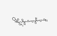 CCOCCOCCNC(=O)COCCOCCNC(=O)CC[C@@H](C)NC(=O)C1CCCCC1